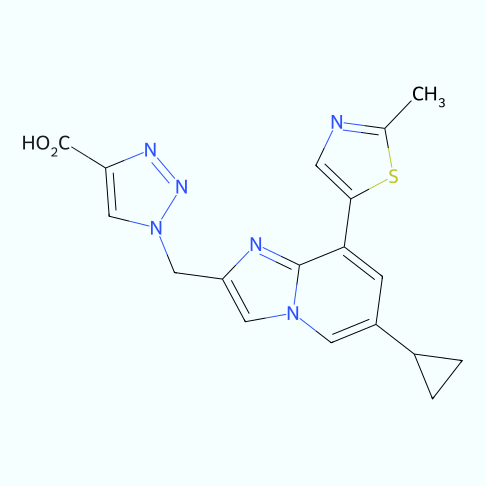 Cc1ncc(-c2cc(C3CC3)cn3cc(Cn4cc(C(=O)O)nn4)nc23)s1